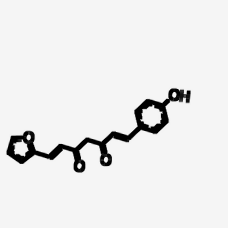 O=C(/C=C/c1ccc(O)cc1)CC(=O)/C=C/c1ccco1